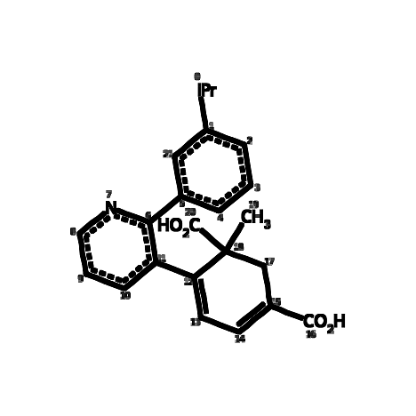 CC(C)c1cccc(-c2ncccc2C2=CC=C(C(=O)O)CC2(C)C(=O)O)c1